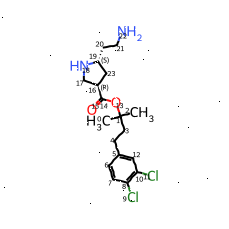 CC(C)(CCc1ccc(Cl)c(Cl)c1)OC(=O)[C@H]1CN[C@H](CCN)C1